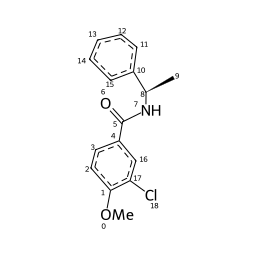 COc1ccc(C(=O)N[C@H](C)c2ccccc2)cc1Cl